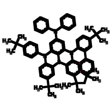 CC(C)(C)c1ccc(N2c3ccc(C(C)(C)C)cc3B3c4cc5c(cc4N(c4ccc(C(C)(C)C)cc4-c4ccccc4)c4cc(N(c6ccccc6)c6ccccc6)cc2c43)C(C)(C)CC5(C)C)cc1